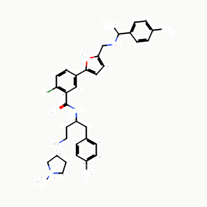 Cc1ccc(C(C)NCc2ccc(-c3ccc(Cl)c(C(=O)NC(CCN[C@@H]4CCN(C)C4)Cc4ccc(C#N)cc4)c3)o2)cc1